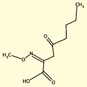 CCCCC(=O)CC(=NOC)C(=O)O